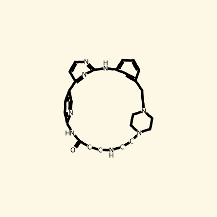 O=C1CCNCCN2CCN(CC2)Cc2cccc(c2)Nc2nccc(n2)-c2ccc(nc2)N1